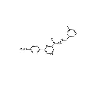 COc1ccc(-c2cncc(C(=O)N/N=C/c3cccc(C)c3)n2)cc1